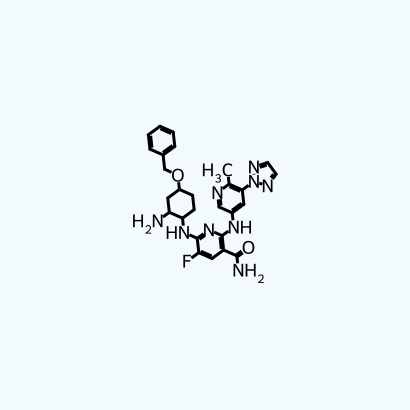 Cc1ncc(Nc2nc(NC3CCC(OCc4ccccc4)CC3N)c(F)cc2C(N)=O)cc1-n1nccn1